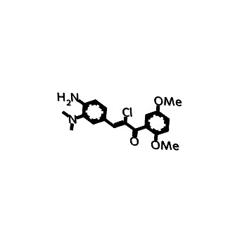 COc1ccc(OC)c(C(=O)C(Cl)=Cc2ccc(N)c(N(C)C)c2)c1